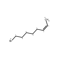 C/C=C\CCCCCBr